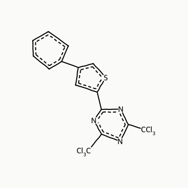 ClC(Cl)(Cl)c1nc(-c2cc(-c3ccccc3)cs2)nc(C(Cl)(Cl)Cl)n1